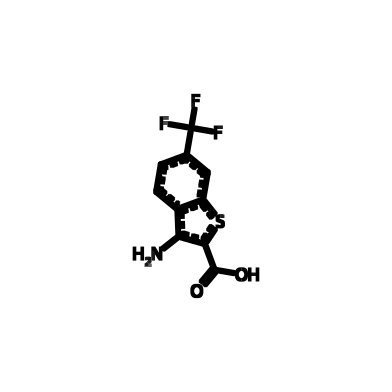 Nc1c(C(=O)O)sc2cc(C(F)(F)F)ccc12